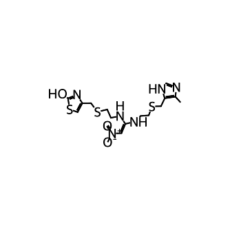 Cc1nc[nH]c1CSCCNC(=C[N+](=O)[O-])NCCSCc1csc(O)n1